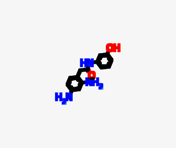 Nc1ccc(CC(=O)Nc2cccc(O)c2)c(N)c1